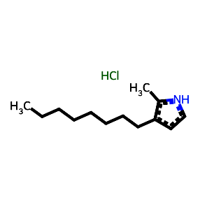 CCCCCCCCc1cc[nH]c1C.Cl